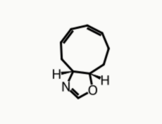 C1=N[C@@H]2C/C=C\C=C/CC[C@@H]2O1